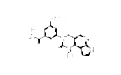 CCNC(=O)c1cc(OC)cc(N2Cc3cnc4[nH]ccc4c3N(CC)C2=O)c1